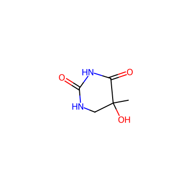 CC1(O)CNC(=O)NC1=O